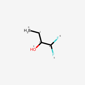 BCC(O)C(F)F